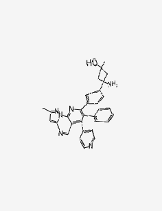 Cc1cc2ncc3c(-c4ccncc4)c(-c4ccccc4)c(-c4ccc(C5(N)CC(C)(O)C5)cc4)nc3n2n1